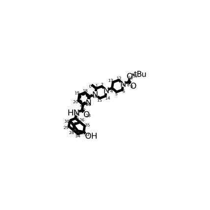 CC1CN(C2CCN(C(=O)OC(C)(C)C)CC2)CCN1c1cccc(C(=O)NC2C3CC4CC2CC(O)(C4)C3)n1